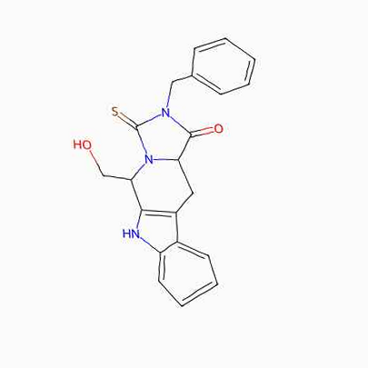 O=C1C2Cc3c([nH]c4ccccc34)C(CO)N2C(=S)N1Cc1ccccc1